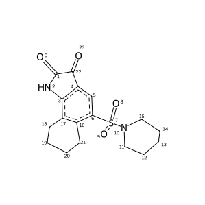 O=C1Nc2c(cc(S(=O)(=O)N3CCCCC3)c3c2CCCC3)C1=O